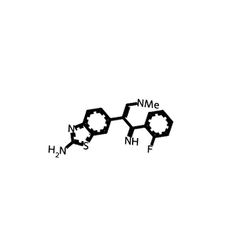 CN/C=C(\C(=N)c1ccccc1F)c1ccc2nc(N)sc2c1